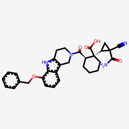 N#CC1(C(N)=O)CC1[C@]1(C(=O)O)CCCC[C@H]1C(=O)N1CCc2[nH]c3c(OCc4ccccc4)cccc3c2C1